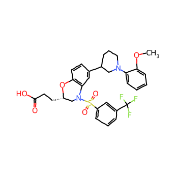 COc1ccccc1N1CCCC(c2ccc3c(c2)N(S(=O)(=O)c2cccc(C(F)(F)F)c2)C[C@H](CCC(=O)O)O3)C1